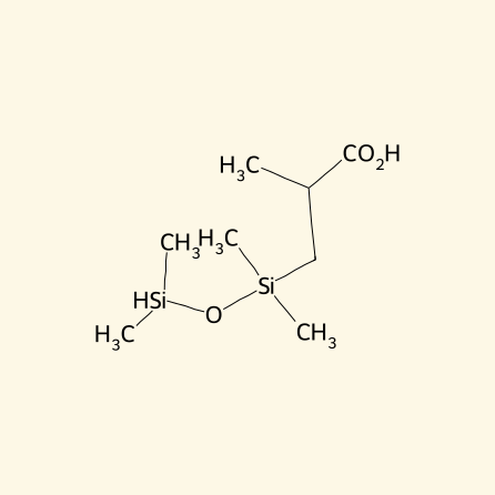 CC(C[Si](C)(C)O[SiH](C)C)C(=O)O